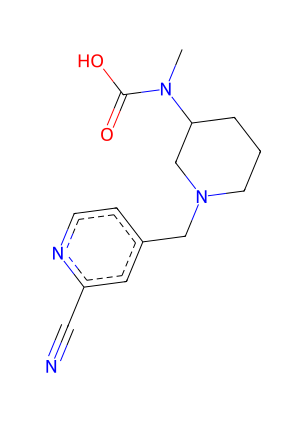 CN(C(=O)O)C1CCCN(Cc2ccnc(C#N)c2)C1